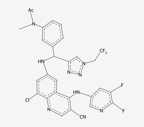 CC(=O)N(C)c1cccc(C(Nc2cc(Cl)c3ncc(C#N)c(Nc4cnc(F)c(F)c4)c3c2)c2cn(CC(F)(F)F)nn2)c1